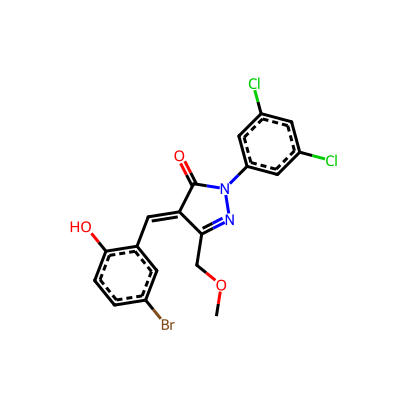 COCC1=NN(c2cc(Cl)cc(Cl)c2)C(=O)/C1=C/c1cc(Br)ccc1O